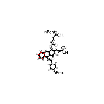 CCCCCC(C)CCCC(=O)Oc1c2c(c(OC(=O)C3CCC(CCCCC)CC3)c3c1C1c4ccccc4C3c3ccccc31)SC(=C(C#N)C#N)S2